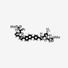 C=C1CC(c2ncc(-c3ccc(-c4ccc5cc(-c6cnc(C7CCCN7C(=O)C(NC(=O)OC)C(C)C)[nH]6)ccc5c4)cc3)[nH]2)N(C(=O)C(NC(=O)OC)C(C)C)C1